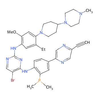 C#Cc1cnc(-c2ccc(Nc3nc(Nc4cc(CC)c(N5CCC(N6CCN(C)CC6)CC5)cc4OC)ncc3Br)c(P(C)C)c2)cn1